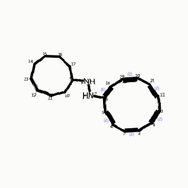 C1=C\C=C/C=C\C(NNC2CCCCCCCC2)=C/C=C\C=C/1